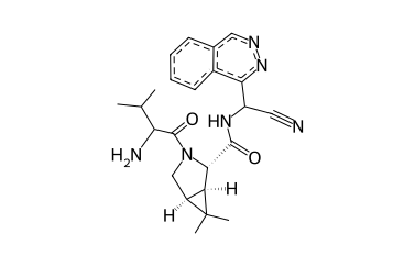 CC(C)C(N)C(=O)N1C[C@H]2[C@@H]([C@H]1C(=O)NC(C#N)c1nncc3ccccc13)C2(C)C